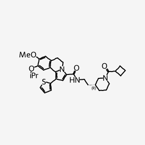 COc1cc2c(cc1OC(C)C)-c1c(-c3cccs3)cc(C(=O)NCC[C@H]3CCCN(C(=O)C4CCC4)C3)n1CC2